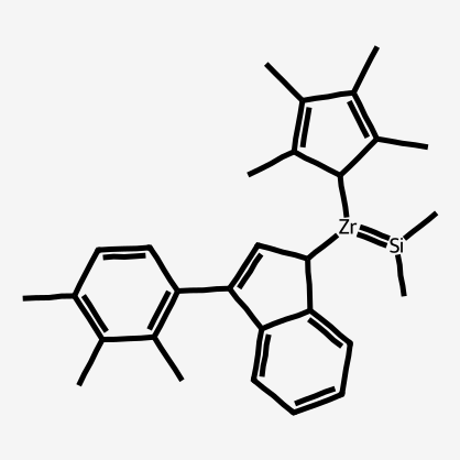 CC1=C(C)[CH]([Zr]([CH]2C=C(c3ccc(C)c(C)c3C)c3ccccc32)=[Si](C)C)C(C)=C1C